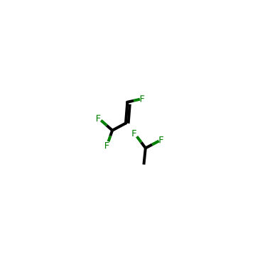 CC(F)F.FC=CC(F)F